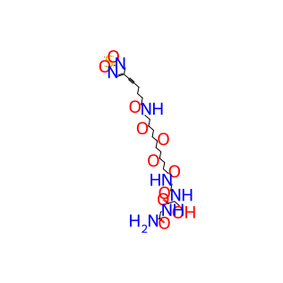 CS(=O)(=O)c1ncc(C#CCCCC(=O)NCCC(=O)CCC(=O)CCC(=O)CCC(=O)NCC(=O)NC(CO)C(=O)NCC(N)=O)cn1